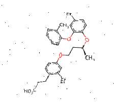 CCc1ccc(O[C@@H](C)CCOc2ccc(CCC(=O)O)c(CC)c2)c(Oc2ccccc2C)c1